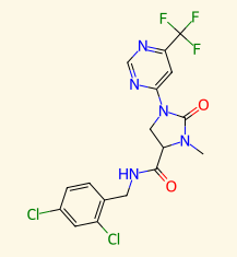 CN1C(=O)N(c2cc(C(F)(F)F)ncn2)CC1C(=O)NCc1ccc(Cl)cc1Cl